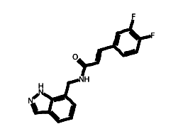 O=C(C=Cc1ccc(F)c(F)c1)NCc1cccc2cn[nH]c12